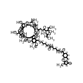 CCC(=O)N[C@H](C(=O)NCC(=O)N[C@H]1C[S+]([O-])c2[nH]c3c(CSCCCCNC(=O)CCCCCNC(=O)C4CCC(CN5C(=O)CC(C)C5=O)CC4)c(OC)ccc3c2C[C@@H](C(N)=O)NC(=O)[C@H]([C@@H](C)[C@@H](O)CO)NC(=O)[C@@H]2C[C@@H](O)CN2C(=O)[C@H](CC(N)=O)NC1=O)[C@@H](C)CC